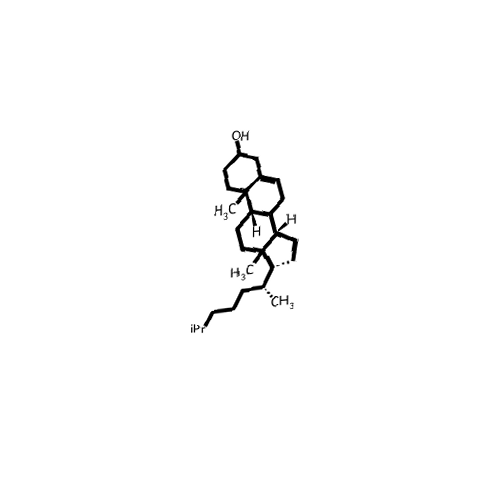 CC(C)CCC[C@@H](C)[C@H]1CC[C@H]2C3CC=C4CC(O)CCC4(C)[C@H]3CCC12C